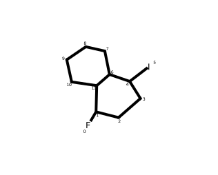 FC1CCC(I)C2CCCCC12